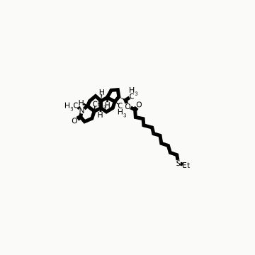 CCSCCCCCCCCCCC(=O)OC(C)[C@H]1CC[C@H]2[C@@H]3CC[C@H]4N(C)C(=O)CC[C@]4(C)[C@H]3CC[C@]12C